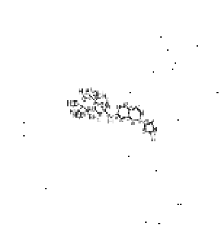 BC1(B)OC(B)(B)C(B)(B)N(CC(=O)Nc2cc3cc(-c4cnc(C)s4)ncc3cn2)C1(B)B